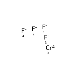 [Cr+4].[F-].[F-].[F-].[F-]